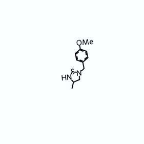 COc1ccc(CN2CC(C)NS2)cc1